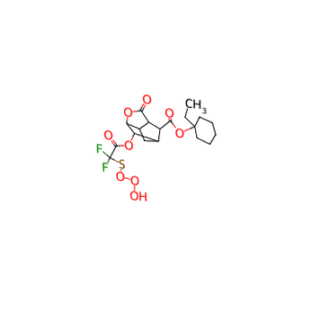 CCC1(OC(=O)C2C3CC4C(OC(=O)C42)C3OC(=O)C(F)(F)SOOO)CCCCC1